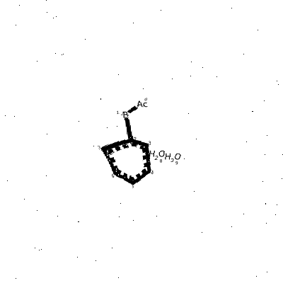 CC(=O)[B]c1ccccc1.O.O